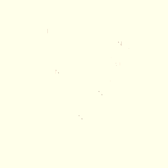 CC(CC1(N2CCN(Cc3ccccc3)CC2)CCOCC1)(C(N)=O)c1cncc(F)c1